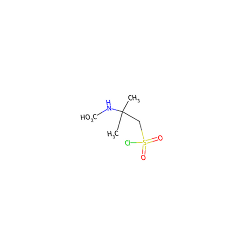 CC(C)(CS(=O)(=O)Cl)NC(=O)O